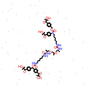 CC(COCC(C)OCC(C)NC(=O)NCCCCCCN(C(=O)OCc1ccc(C(=O)C(C)(C)O)cc1)c1ccc(C(=O)C(C)(C)O)cc1)NC(=O)NCCCCCCNC(=O)OC(c1ccc(C(=O)C(C)(C)O)cc1)c1ccc(C(=O)C(C)(C)O)cc1